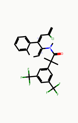 C=C(Cl)/C=C(\C(=C/C)N(C)C(=O)C(C)(C)c1cc(C(F)(F)F)cc(C(F)(F)F)c1)c1ccccc1C